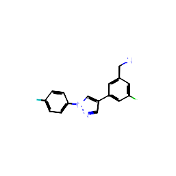 NCc1cc(Cl)cc(-c2cnn(-c3ccc(F)cc3)c2)c1